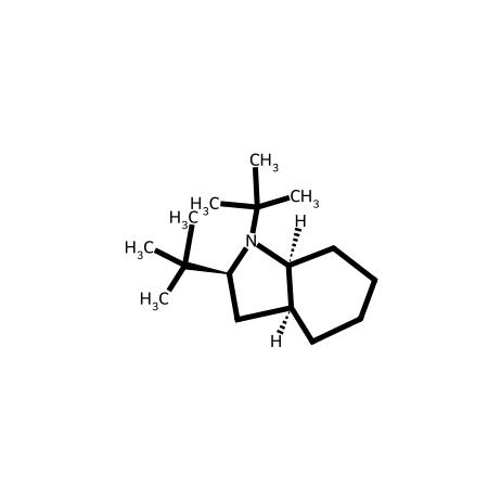 CC(C)(C)[C@@H]1C[C@@H]2CCCC[C@@H]2N1C(C)(C)C